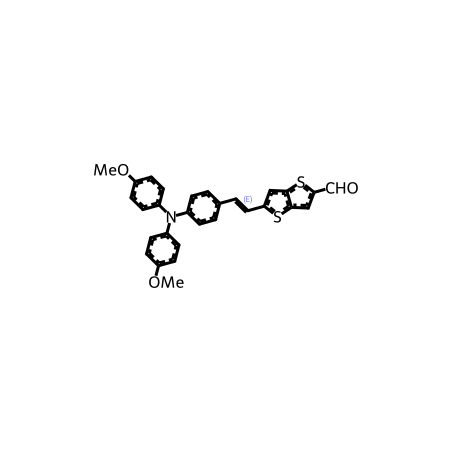 COc1ccc(N(c2ccc(/C=C/c3cc4sc(C=O)cc4s3)cc2)c2ccc(OC)cc2)cc1